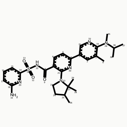 Cc1cc(-c2ccc(C(=O)NS(=O)(=O)c3cccc(N)n3)c(N3CCC(C)C3(C)C)n2)cnc1N(C)C(C)C